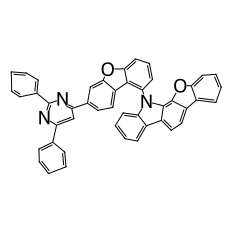 c1ccc(-c2cc(-c3ccc4c(c3)oc3cccc(-n5c6ccccc6c6ccc7c8ccccc8oc7c65)c34)nc(-c3ccccc3)n2)cc1